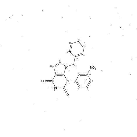 O=c1[nH]c(=O)n(-c2cccc([N+](=O)[O-])c2)c2c1ncn2Cc1ccccc1